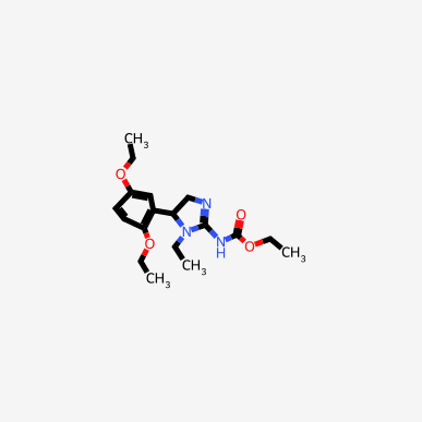 CCOC(=O)NC1=NCC(c2cc(OCC)ccc2OCC)N1CC